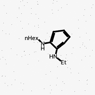 CCCCCCNc1ccccc1NCC